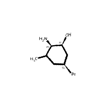 CC(C)[C@H]1CC(C)[C@@H](N)[C@@H](O)C1